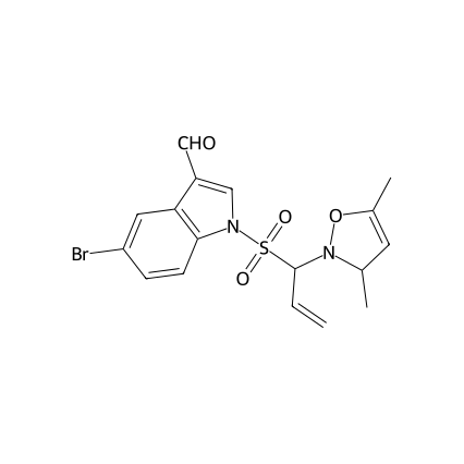 C=CC(N1OC(C)=CC1C)S(=O)(=O)n1cc(C=O)c2cc(Br)ccc21